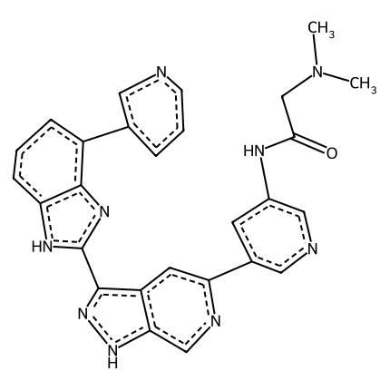 CN(C)CC(=O)Nc1cncc(-c2cc3c(-c4nc5c(-c6cccnc6)cccc5[nH]4)n[nH]c3cn2)c1